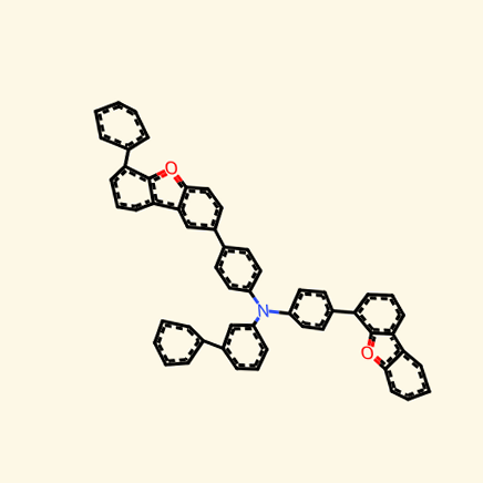 c1ccc(-c2cccc(N(c3ccc(-c4ccc5oc6c(-c7ccccc7)cccc6c5c4)cc3)c3ccc(-c4cccc5c4oc4ccccc45)cc3)c2)cc1